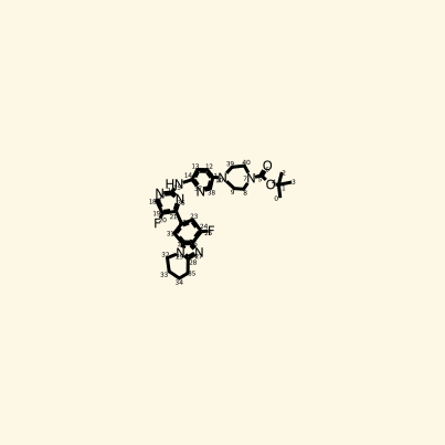 CC(C)(C)OC(=O)N1CCN(c2ccc(Nc3ncc(F)c(-c4cc(F)c5nc6n(c5c4)CCCC6)n3)nc2)CC1